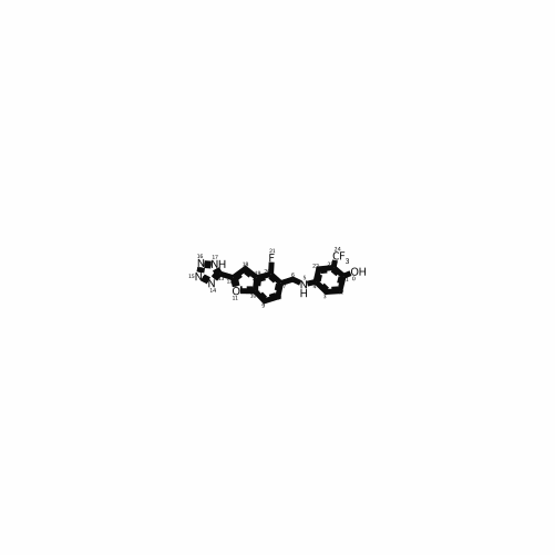 Oc1ccc(NCc2ccc3oc(-c4nnn[nH]4)cc3c2F)cc1C(F)(F)F